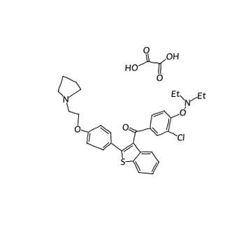 CCN(CC)Oc1ccc(C(=O)c2c(-c3ccc(OCCN4CCCC4)cc3)sc3ccccc23)cc1Cl.O=C(O)C(=O)O